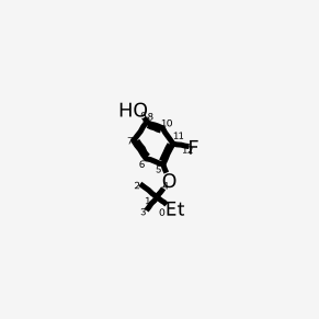 CCC(C)(C)Oc1ccc(O)cc1F